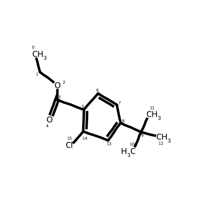 CCOC(=O)c1ccc(C(C)(C)C)cc1Cl